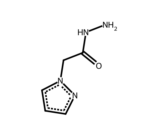 NNC(=O)Cn1cccn1